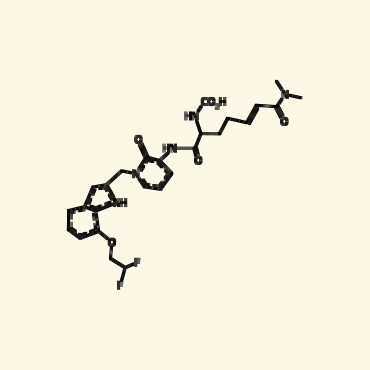 CN(C)C(=O)C=CCCC(NC(=O)O)C(=O)Nc1cccn(Cc2cc3cccc(OCC(F)F)c3[nH]2)c1=O